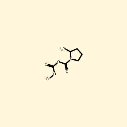 CC(C)OC(=O)OC(=O)N1CCCC1N